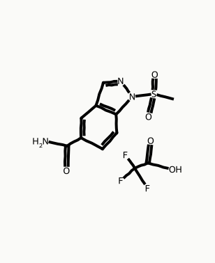 CS(=O)(=O)n1ncc2cc(C(N)=O)ccc21.O=C(O)C(F)(F)F